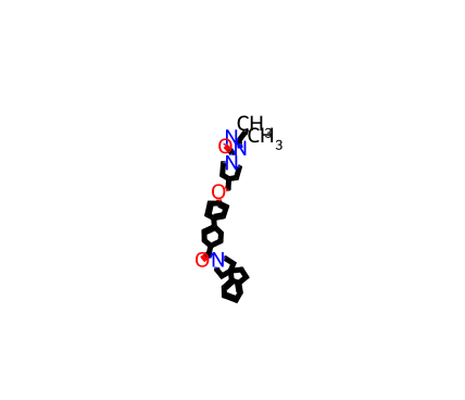 CC(C)c1noc(N2CCC(COc3ccc(C4=CCC(C(=O)N5CCC6(CCc7ccccc76)CC5)CC4)cc3)CC2)n1